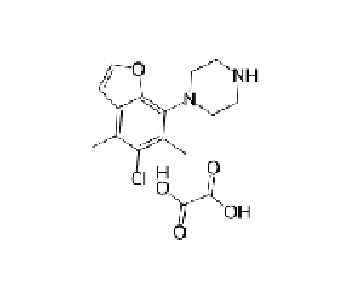 Cc1c(Cl)c(C)c2ccoc2c1N1CCNCC1.O=C(O)C(=O)O